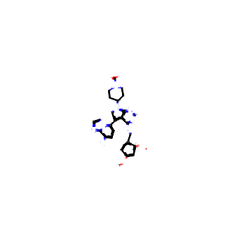 COc1ccc(CNc2ncnc3c2c(-c2ccc(N)c4nccn24)cn3C2CCN(C(=O)O)CC2)c(OC)c1